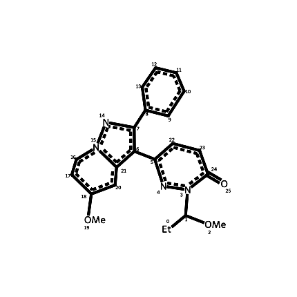 CCC(OC)n1nc(-c2c(-c3ccccc3)nn3ccc(OC)cc23)ccc1=O